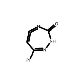 CC(C)C1=NNC(=O)N=C=C1